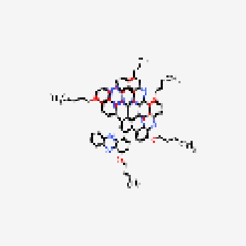 CCCCOc1ccc(-c2[c]c(-c3ccc(OCCCC)c4nc5ccccc5nc34)c(-c3ccc(OCCCC)c4nc5ccccc5nc34)c(-c3ccc(OCCCC)c4nc5ccccc5nc34)c2-c2ccc(OCCCC)c3nc4ccccc4nc23)c2nc3ccccc3nc12